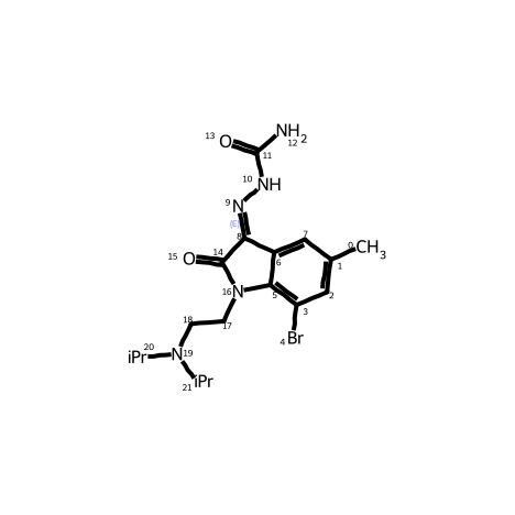 Cc1cc(Br)c2c(c1)/C(=N\NC(N)=O)C(=O)N2CCN(C(C)C)C(C)C